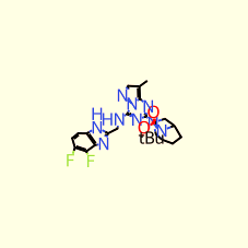 Cc1cnn2c(NCc3nc4c(F)c(F)ccc4[nH]3)nc(N3CC4CCC(C3)N4C(=O)OC(C)(C)C)nc12